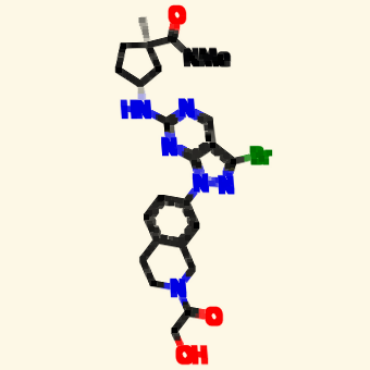 CNC(=O)[C@]1(C)CC[C@@H](Nc2ncc3c(Br)nn(-c4ccc5c(c4)CN(C(=O)CO)CC5)c3n2)C1